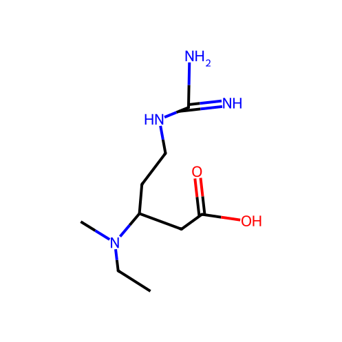 CCN(C)C(CCNC(=N)N)CC(=O)O